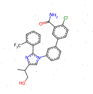 CC(CO)c1cn(-c2cccc(-c3ccc(Cl)c(C(N)=O)c3)c2)c(-c2ccccc2C(F)(F)F)n1